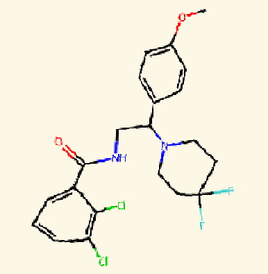 COc1ccc(C(CNC(=O)c2cccc(Cl)c2Cl)N2CCC(F)(F)CC2)cc1